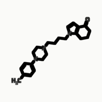 Cc1ccc(N2CCN(CCCCn3ccc4c3CCCC4=O)CC2)cc1